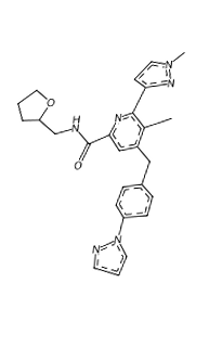 Cc1c(Cc2ccc(-n3cccn3)cc2)cc(C(=O)NCC2CCCO2)nc1-c1ccn(C)n1